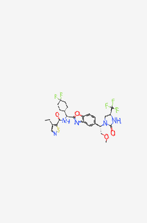 CCc1cnsc1C(=O)N[C@H](c1nc2cc([C@@H](COC)N3C[C@@H](C(F)(F)F)NC3=O)ccc2o1)C1CCC(F)(F)CC1